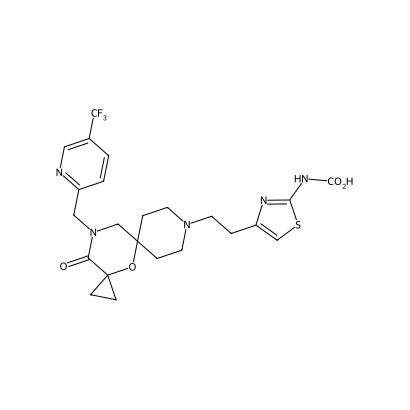 O=C(O)Nc1nc(CCN2CCC3(CC2)CN(Cc2ccc(C(F)(F)F)cn2)C(=O)C2(CC2)O3)cs1